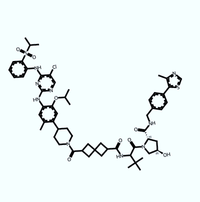 Cc1cc(Nc2ncc(Cl)c(Nc3ccccc3S(=O)(=O)C(C)C)n2)c(OC(C)C)cc1C1CCN(C(=O)C2CC3(CC(C(=O)NC(C(=O)N4C[C@H](O)C[C@H]4C(=O)NCc4ccc(-c5scnc5C)cc4)C(C)(C)C)C3)C2)CC1